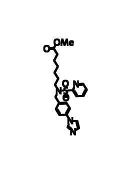 COC(=O)CCCCCCN(Cc1ccc(-n2ccnc2)cc1)S(=O)(=O)c1ccccn1